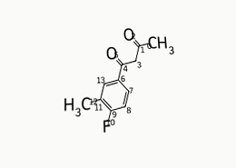 CC(=O)CC(=O)c1ccc(F)c(C)c1